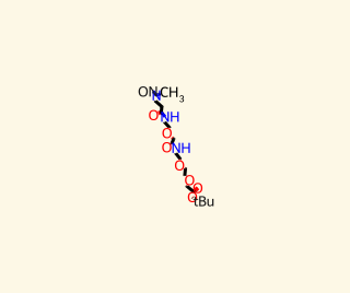 CN(CCC(=O)NCCOCC(=O)NCCOCCOCC(=O)OC(C)(C)C)N=O